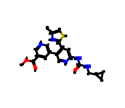 COC(=O)c1cncc(-c2cnc(NC(=O)NCC3CC3)cc2-c2nc(C)cs2)c1